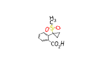 CS(=O)(=O)C1(c2ccccc2C(=O)O)CC1